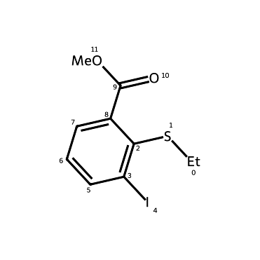 CCSc1c(I)cccc1C(=O)OC